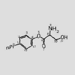 CCCc1ccc(OC(=O)C(N)CO)cc1